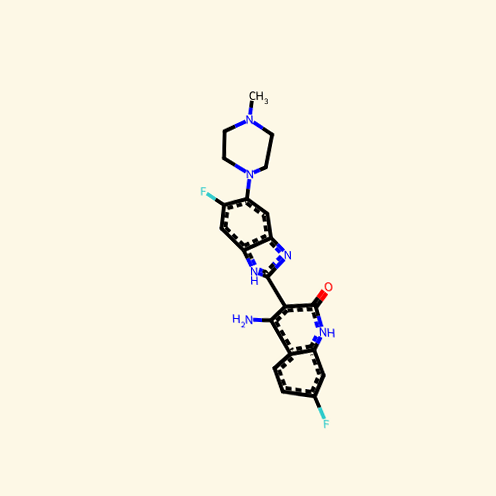 CN1CCN(c2cc3nc(-c4c(N)c5ccc(F)cc5[nH]c4=O)[nH]c3cc2F)CC1